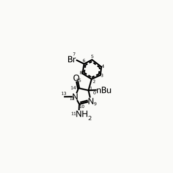 CCCCC1(c2cccc(Br)c2)N=C(N)N(C)C1=O